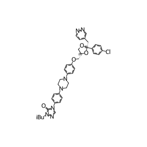 CCC(C)n1ncn(-c2ccc(N3CCN(c4ccc(OC[C@@H]5CO[C@@](Cc6ccnnc6)(c6ccc(Cl)cc6)O5)cc4)CC3)cc2)c1=O